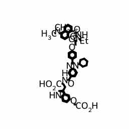 CCN(NS(=O)(=O)c1cccc2c(N(C)C)cccc12)C(=O)COc1ccc(-c2nc3cc(C(=O)NC(Cc4c[nH]c5ccc(OCC(=O)O)cc45)C(=O)O)ccc3n2C2CCCCC2)cc1